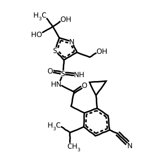 CC(C)c1cc(C#N)cc(C2CC2)c1CC(=O)NS(=N)(=O)c1sc(C(C)(O)O)nc1CO